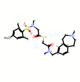 COc1cc(C)c(S(=O)(=O)N(C)CC(=O)SCC(=O)N(C)Cc2ccc3c(c2)CCN(C)CC3)c(C)c1